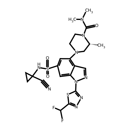 C[C@@H]1CN(c2cc(S(=O)(=O)NC3(C#N)CC3)cc3c2cnn3-c2nnc(C(F)F)s2)CCN1C(=O)N(C)C